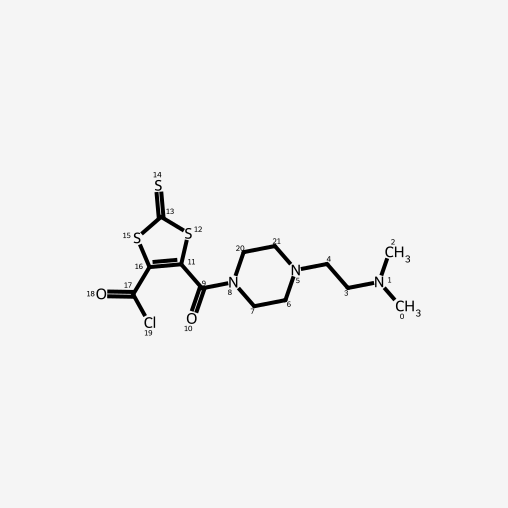 CN(C)CCN1CCN(C(=O)c2sc(=S)sc2C(=O)Cl)CC1